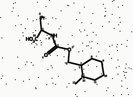 CC(C)C(NC(=O)OCC1CCCCN1C)C(=O)O